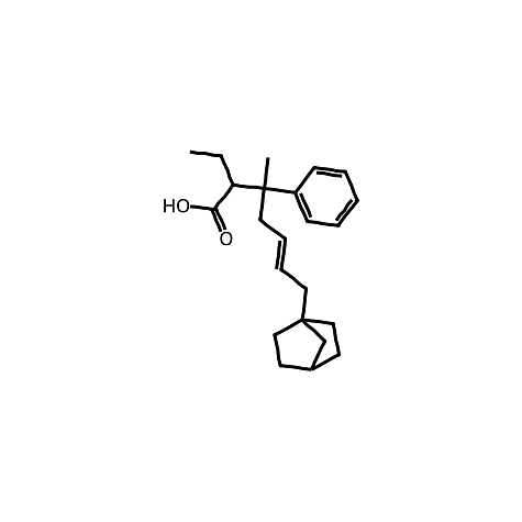 CCC(C(=O)O)C(C)(CC=CCC12CCC(CC1)C2)c1ccccc1